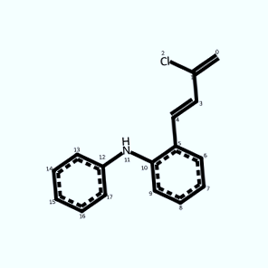 C=C(Cl)C=Cc1ccccc1Nc1ccccc1